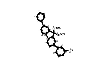 CCCCCCC1(CCCCCC)c2cc(-c3ccccc3)ccc2-c2ccc(-c3cccc(S)c3)cc21